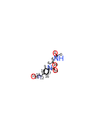 CC(=O)NCC1CN(c2ccc(/C=C/C=O)cc2)C(=O)O1